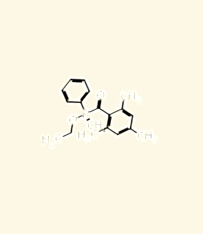 C=P(OCC)(C(=O)c1c(C)cc(C)cc1C)c1ccccc1